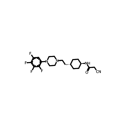 N#CCC(=O)N[C@H]1CC[C@H](CCN2CCN(c3cc(F)c(F)c(F)c3F)CC2)CC1